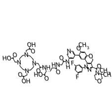 COc1cc2c(cc1-c1cncc(NC(=O)CNC(=O)CC[C@@H](NC(=O)CN3CCN(CC(=O)O)CCN(CC(=O)O)CCN(CC(=O)O)CC3)C(=O)O)c1)-c1c(c(C(=O)N3CCOCC3(C)C)nn1-c1cc(F)cc(F)c1)CO2